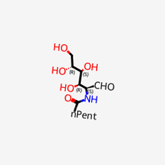 CCCCCC(=O)N[C@H](C=O)[C@@H](O)[C@H](O)[C@H](O)CO